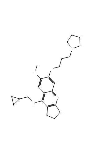 COc1cc2c(NCC3CC3)c3c(nc2cc1OCCCN1CCCC1)CCC3